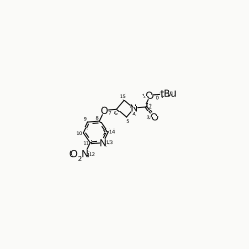 CC(C)(C)OC(=O)N1CC(Oc2ccc([N+](=O)[O-])nc2)C1